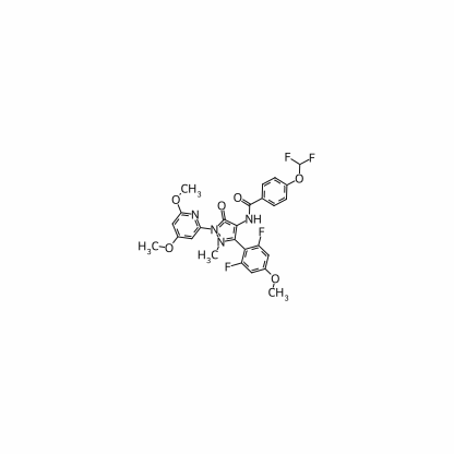 COc1cc(OC)nc(-n2c(=O)c(NC(=O)c3ccc(OC(F)F)cc3)c(-c3c(F)cc(OC)cc3F)n2C)c1